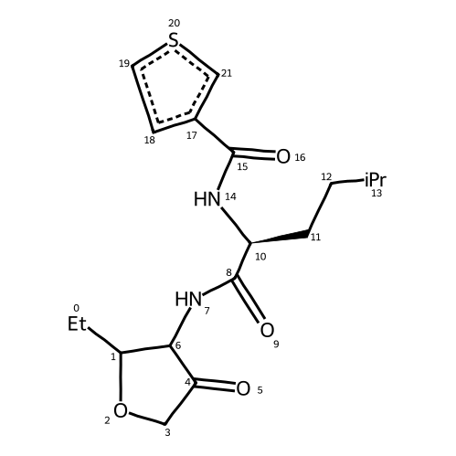 CCC1OCC(=O)C1NC(=O)[C@H](CCC(C)C)NC(=O)c1ccsc1